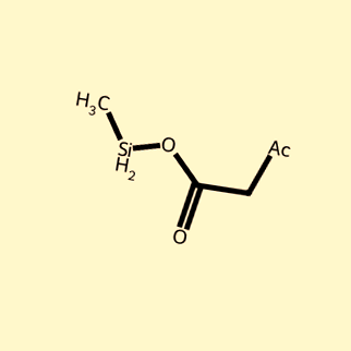 C[SiH2]OC(=O)CC(C)=O